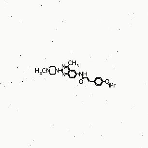 Cc1nc(N2CCN(C)CC2)nc2ccc(NC(=O)C=Cc3ccc(OC(C)C)cc3)cc12